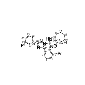 CC(C)c1cccc2c1nc(N[C@@H]1CCCCNC1=O)n1nc(-c3cccc(F)c3)nc21